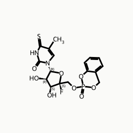 Cc1cn([C@@H]2O[C@](F)(COP3(=O)OCc4ccccc4O3)[C@@H](O)[C@H]2O)c(=O)[nH]c1=S